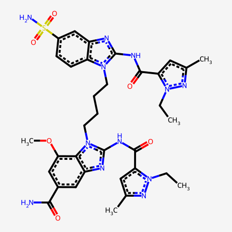 CCn1nc(C)cc1C(=O)Nc1nc2cc(S(N)(=O)=O)ccc2n1CCCCn1c(NC(=O)c2cc(C)nn2CC)nc2cc(C(N)=O)cc(OC)c21